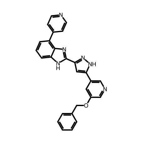 c1ccc(COc2cncc(-c3cc(-c4nc5c(-c6ccncc6)cccc5[nH]4)n[nH]3)c2)cc1